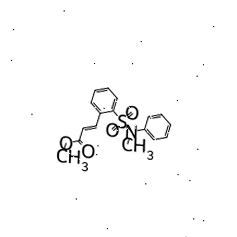 COC(=O)C=Cc1ccccc1S(=O)(=O)N(C)c1ccccc1